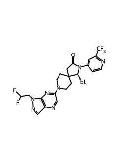 CC[C@@H]1N(c2ccnc(C(F)(F)F)c2)C(=O)CC12CCN(c1cnc3cnn(CC(F)F)c3n1)CC2